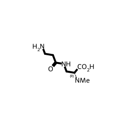 CN[C@H](CNC(=O)CCN)C(=O)O